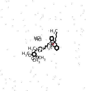 CCCCCCC1(c2ccccc2OCCCCN2CCN(C(C)c3cc(OC)c(OC)c(OC)c3)CC2)Cc2ccccc2N(C)C1=O.Cl.Cl